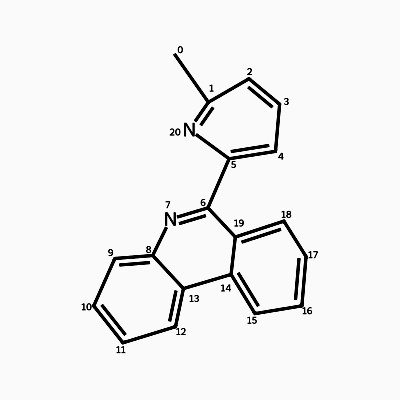 Cc1cccc(-c2nc3ccccc3c3ccccc23)n1